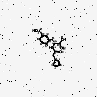 O=C(Cc1cccs1)N[C@H](Cc1cc(C(=O)O)ccn1)B(O)O